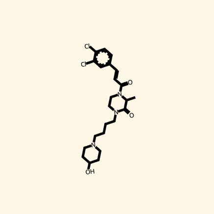 CC1C(=O)N(CCCCN2CCC(O)CC2)CCN1C(=O)/C=C/c1ccc(Cl)c(Cl)c1